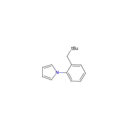 CC(C)(C)Cc1ccccc1-n1cccc1